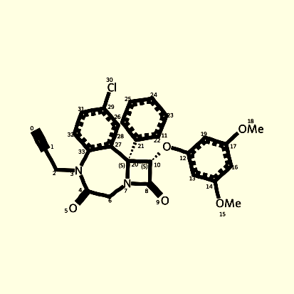 C#CCN1C(=O)CN2C(=O)[C@@H](Oc3cc(OC)cc(OC)c3)[C@]2(c2ccccc2)c2cc(Cl)ccc21